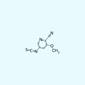 COc1cc(N=C=S)cnc1C#N